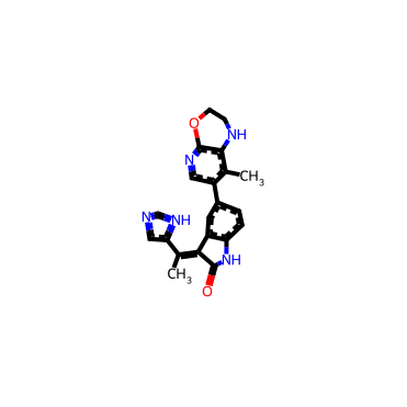 CC(=C1C(=O)Nc2ccc(-c3cnc4c(c3C)NCCO4)cc21)c1cnc[nH]1